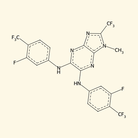 Cn1c(C(F)(F)F)nc2nc(Nc3ccc(C(F)(F)F)c(F)c3)c(Nc3ccc(C(F)(F)F)c(F)c3)nc21